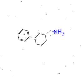 NC[C@@H]1CCC[C@H](c2ccccc2)C1